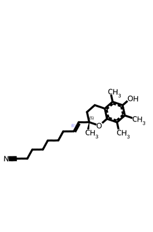 Cc1c(C)c2c(c(C)c1O)CC[C@@](C)(/C=C/CCCCCCC#N)O2